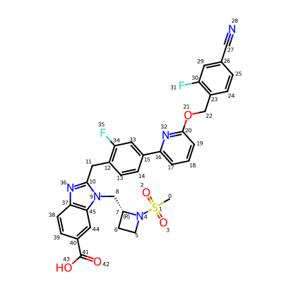 CS(=O)(=O)N1CC[C@@H]1Cn1c(Cc2ccc(-c3cccc(OCc4ccc(C#N)cc4F)n3)cc2F)nc2ccc(C(=O)O)cc21